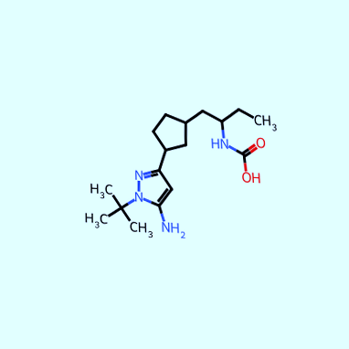 CCC(CC1CCC(c2cc(N)n(C(C)(C)C)n2)C1)NC(=O)O